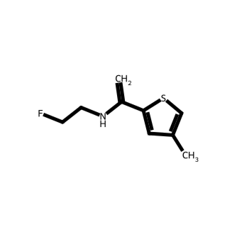 C=C(NCCF)c1cc(C)cs1